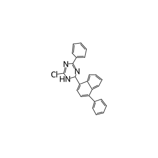 ClC1=NC(c2ccccc2)=NC(c2ccc(-c3ccccc3)c3ccccc23)N1